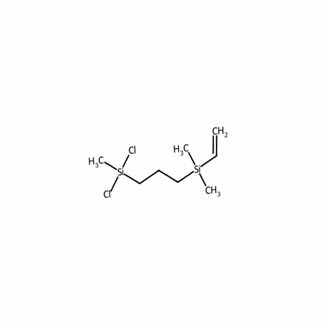 C=C[Si](C)(C)CCC[Si](C)(Cl)Cl